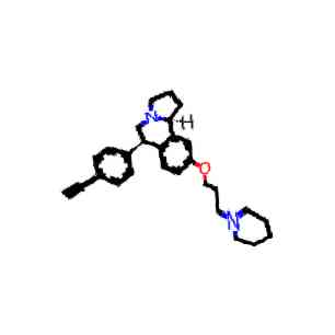 C#Cc1ccc([C@H]2CN3CCC[C@H]3c3cc(OCCCN4CCCCC4)ccc32)cc1